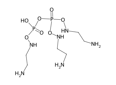 NCCNOP(=O)(O)OP(=O)(ONCCN)ONCCN